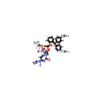 COc1ccc(C(OCC(CP(O)(O)(CCC#N)N(C(C)C)C(C)C)OCCn2ccc(NCC(C)C)nc2=O)(c2ccccc2)c2ccc(OC)cc2)cc1